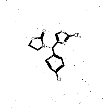 O=C1OCCN1[C@@H](c1ccc(Cl)cc1)c1coc(C(F)(F)F)n1